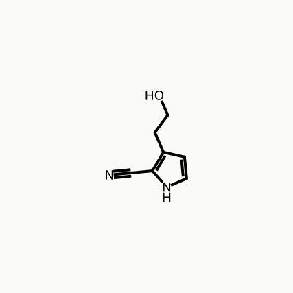 N#Cc1[nH]ccc1CCO